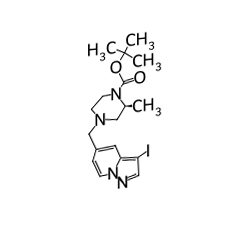 C[C@H]1CN(Cc2ccn3ncc(I)c3c2)CCN1C(=O)OC(C)(C)C